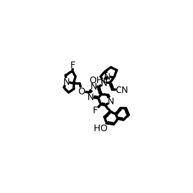 N#C/C=C1\C2CCC(CN1c1nc(OCC34CCCN3CC(F)C4)nc3c(F)c(-c4cc(O)cc5ccccc45)ncc13)N2[C]=O